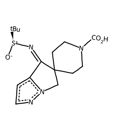 CC(C)(C)[S@+]([O-])/N=C1\c2ccnn2CC12CCN(C(=O)O)CC2